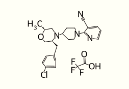 C[C@H]1CN(C2CCN(c3ncccc3C#N)CC2)[C@@H](Cc2ccc(Cl)cc2)CO1.O=C(O)C(F)(F)F